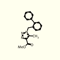 COC(=O)c1nnn(Cc2ccccc2-c2ccccc2)c1C